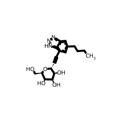 CCCCc1cc(C#C[C@H]2O[C@H](CO)[C@@H](O)[C@H](O)[C@@H]2O)c2[nH]nnc2c1